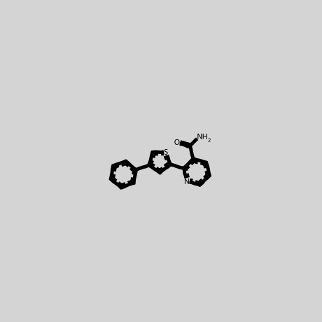 NC(=O)c1cccnc1-c1cc(-c2ccccc2)cs1